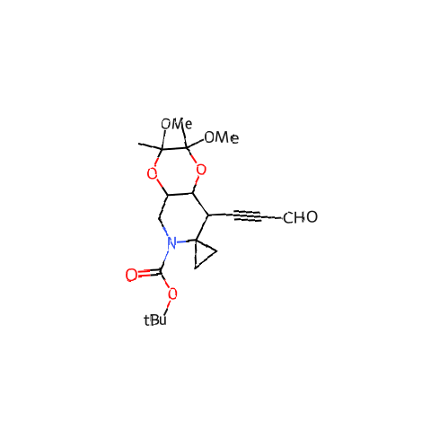 COC1(C)OC2CN(C(=O)OC(C)(C)C)C3(CC3)C(C#CC=O)C2OC1(C)OC